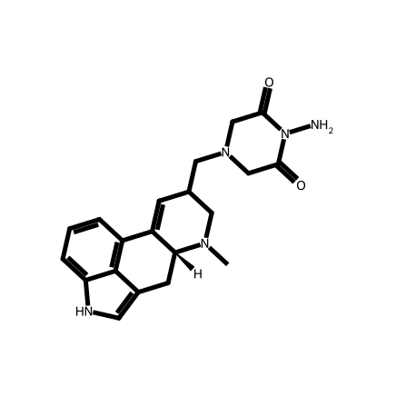 CN1CC(CN2CC(=O)N(N)C(=O)C2)C=C2c3cccc4[nH]cc(c34)C[C@H]21